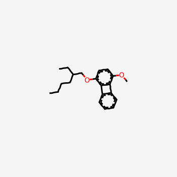 CCCCC(CC)COc1ccc(OC)c2c1-c1ccccc1-2